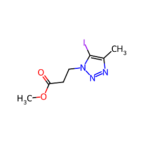 COC(=O)CCn1nnc(C)c1I